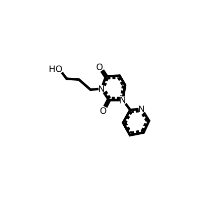 O=c1ccn(-c2ccccn2)c(=O)n1CCCO